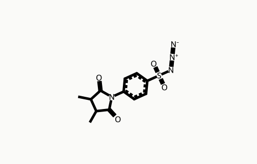 CC1C(=O)N(c2ccc(S(=O)(=O)N=[N+]=[N-])cc2)C(=O)C1C